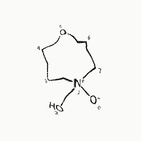 [O-][N+]1(O)CCOCC1